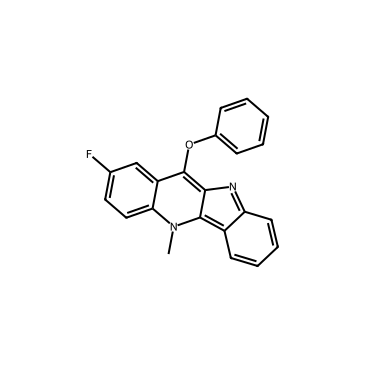 Cn1c2c3ccccc3nc-2c(Oc2ccccc2)c2cc(F)ccc21